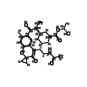 CCC(=O)NCCN1C(=O)C2(CC2)Oc2cc(C)c(C(=O)N(C(C)C)[C@@H]3CCCN(C(=O)OC(C)Cl)C3)cc21